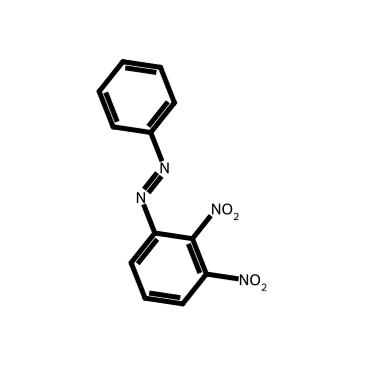 O=[N+]([O-])c1cccc(N=Nc2ccccc2)c1[N+](=O)[O-]